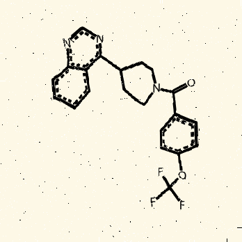 O=C(c1ccc(OC(F)(F)F)cc1)N1CCC(c2ncnc3c[c]ccc23)CC1